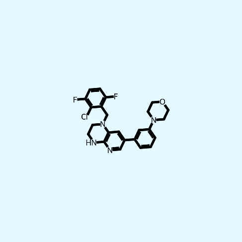 Fc1ccc(F)c(CN2CCNc3ncc(-c4cccc(N5CCOCC5)c4)cc32)c1Cl